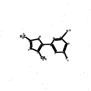 Cc1nc(C)c(-c2cc(F)cc(F)c2)s1